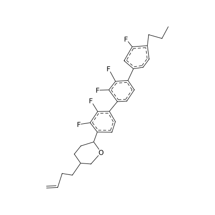 C=CCCC1CCC(c2ccc(-c3ccc(-c4ccc(CCC)c(F)c4)c(F)c3F)c(F)c2F)OC1